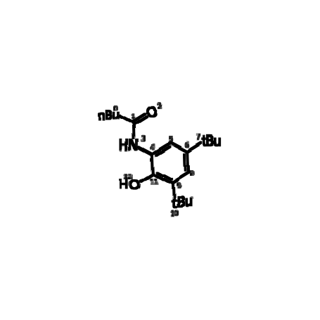 CCCCC(=O)Nc1cc(C(C)(C)C)cc(C(C)(C)C)c1O